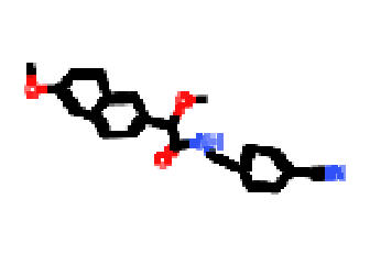 COc1ccc2cc(C(OC)C(=O)NCc3ccc(C#N)cc3)ccc2c1